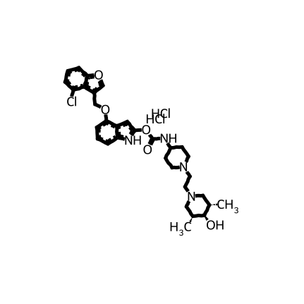 C[C@@H]1CN(CCN2CCC(NC(=O)Oc3cc4c(OCc5coc6cccc(Cl)c56)cccc4[nH]3)CC2)C[C@H](C)[C@H]1O.Cl.Cl